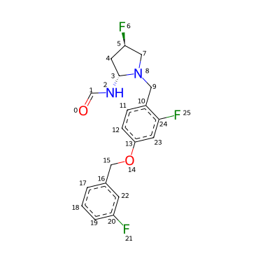 O=CN[C@@H]1C[C@@H](F)CN1Cc1ccc(OCc2cccc(F)c2)cc1F